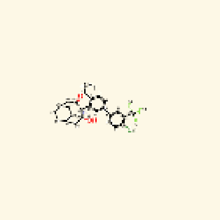 CCc1ccc(-c2ccc(Cl)c(C(F)(F)F)c2)cc1/C1=C(\O)CC2CCC(CC2)CC1=O